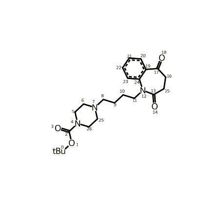 CC(C)(C)OC(=O)N1CCN(CCCCN2C(=O)CCC(=O)c3ccccc32)CC1